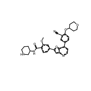 COc1cc(-c2cc3nccc(-c4ccc(OC5CCOCC5)c(C#N)c4)c3o2)ccc1C(=O)NC1CCCNC1